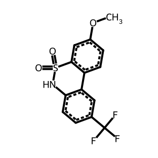 COc1ccc2c(c1)S(=O)(=O)Nc1ccc(C(F)(F)F)cc1-2